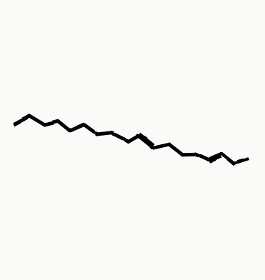 [CH2]CC=CCCCC=CCCCCCCCCC